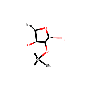 B[C@@H]1O[C@H](CC)[C@H](O)C1O[Si](C)(C)C(C)(C)C